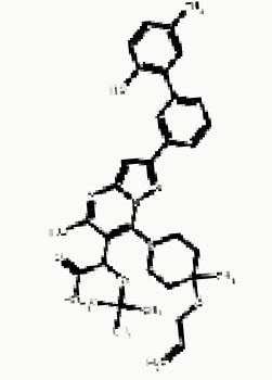 C=CCOC1(C)CCN(c2c(C(OC(C)(C)C)C(=O)O)c(C)nc3cc(-c4cccc(-c5cc(C)ccc5O)c4)nn23)CC1